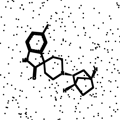 Cc1ccc2c(c1)C1(CCN([C@@H]3C[C@@H]4CC[C@H]3C4)CC1)C(=O)N2